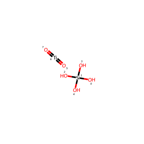 O[Si](O)(O)O.[O]=[Ti]=[O]